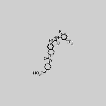 O=C(O)CC1CCC(OC(=O)N2CCc3cc(NC(=O)Nc4cc(C(F)(F)F)ccc4F)ccc3C2)CC1